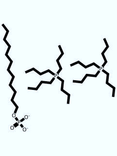 CCCCCCCCCCCCOP(=O)([O-])[O-].CCCC[P+](CCCC)(CCCC)CCCC.CCCC[P+](CCCC)(CCCC)CCCC